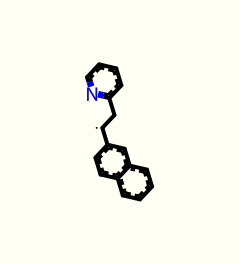 [CH](Cc1ccccn1)c1ccc2ccccc2c1